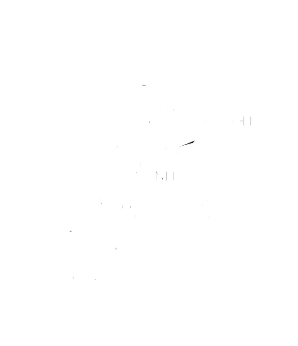 CCC(C)OC(=O)[C@@H](CC(=O)O)NC(=O)OCc1ccccc1.O